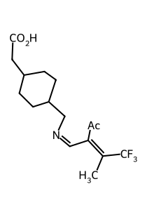 CC(=O)C(/C=N\CC1CCC(CC(=O)O)CC1)=C(/C)C(F)(F)F